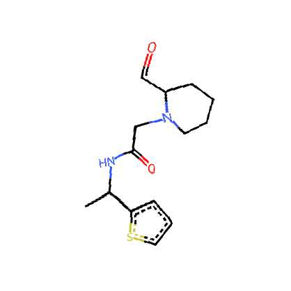 CC(NC(=O)CN1CCCCC1C=O)c1cccs1